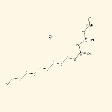 CCCCCCCCCCCC(=O)OC(=O)CNC.[Cu]